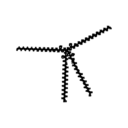 CCCCCCCCCCCCCCCCCCSCCC(=O)OCC(COC(=O)CCSCCCCCCCCCCCCCCCCCC)(COC(=O)CCSCCCCCCCCCCCCCCCCCC)COC(=O)CCSCCCCCCCCCCCCCCCCCC